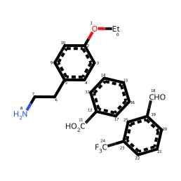 CCOc1ccc(CCN)cc1.O=C(O)c1ccccc1.O=Cc1cccc(C(F)(F)F)c1